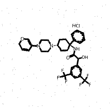 Cl.O=C(N[C@]1(c2ccccc2)CC[C@@H](N2CCN(C3=COCC=C3)CC2)CC1)C(O)c1cc(C(F)(F)F)cc(C(F)(F)F)c1